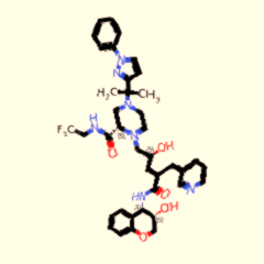 CC(C)(c1ccn(-c2ccccc2)n1)N1CCN(C[C@@H](O)CC(Cc2cccnc2)C(=O)N[C@H]2c3ccccc3OC[C@H]2O)[C@H](C(=O)NCC(F)(F)F)C1